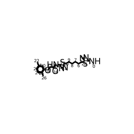 CNc1nnc(CCCCc2nnc(NC(=O)COc3cc(C)ccc3C)s2)s1